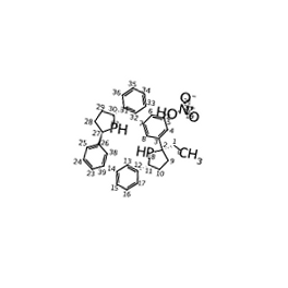 CC[C@]1(c2ccccc2)CC[C@H](c2ccccc2)P1.O=[N+]([O-])O.c1ccc([C@H]2CC[C@H](c3ccccc3)P2)cc1